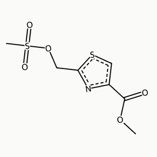 COC(=O)c1csc(COS(C)(=O)=O)n1